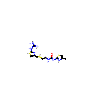 Cc1csc(NC(=O)NCCSCc2csc(NC(=N)N)n2)n1